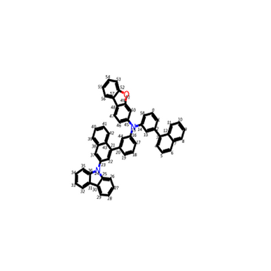 c1cc(-c2cccc3ccccc23)cc(N(c2cccc(-c3cc(-n4c5ccccc5c5ccccc54)cc4ccccc34)c2)c2ccc3c(c2)oc2ccccc23)c1